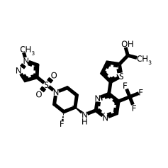 CC(O)c1ccc(-c2nc(N[C@@H]3CCN(S(=O)(=O)c4cnn(C)c4)C[C@H]3F)ncc2C(F)(F)F)s1